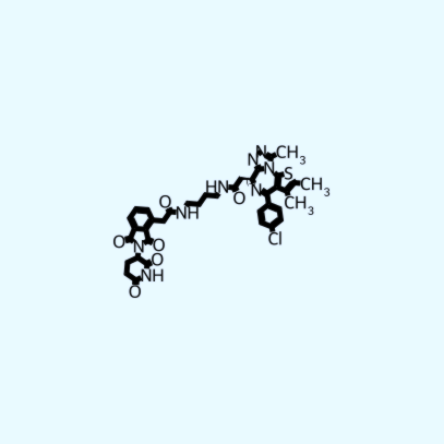 Cc1sc2c(c1C)C(c1ccc(Cl)cc1)=N[C@@H](CC(=O)NCCCCNC(=O)Cc1cccc3c1C(=O)N(C1CCC(=O)NC1=O)C3=O)c1nnc(C)n1-2